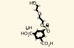 O=C(O)c1cc(C(=O)O)cc(S(=O)(=O)OCCOCCO)c1.[LiH]